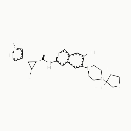 CC[C@@H]1[C@H](C(=O)Nc2cc3cc(N4CCN([C@@]5(C)COC[C@H]5F)CC4)c(C)cc3cn2)[C@H]1c1cnn(C)c1